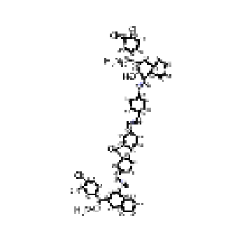 NOC(c1ccc(Cl)c(Cl)c1)c1cc(/N=N/c2ccc3c(c2)C(=O)c2cc(/N=N/c4ccc(/N=N/c5c(O)c(C(ON)c6ccc(Cl)c(Cl)c6)cc6ccccc56)cc4)ccc2-3)c2ccccc2c1